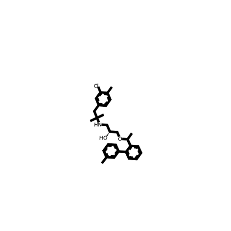 Cc1cccc(-c2ccccc2C(C)OC[C@H](O)CNC(C)(C)Cc2ccc(C)c(Cl)c2)c1